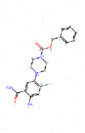 NC(=O)c1cc(N2CCN(C(=O)OCc3ccccc3)CC2)c(F)cc1N